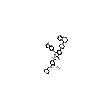 O=C(NS(=O)(=O)c1ccc(NCC2CCOCC2)c([N+](=O)[O-])c1)c1ccc(N2CCN(C3CCCOc4ccccc43)CC2)cc1Oc1cnc2[nH]ccc2c1